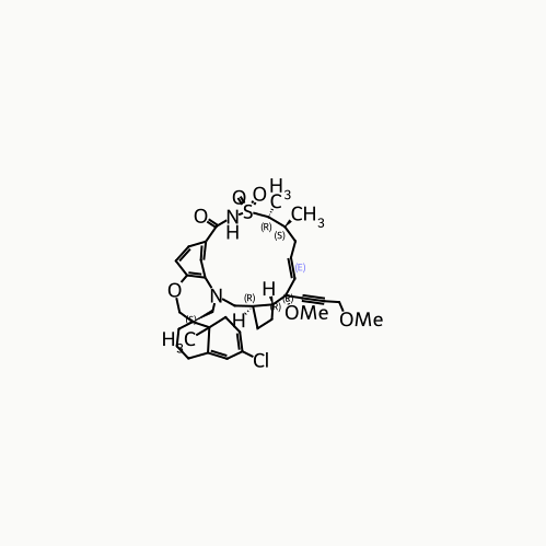 COCC#C[C@]1(OC)/C=C/C[C@H](C)[C@@H](C)S(=O)(=O)NC(=O)c2ccc3c(c2)N(C[C@@H]2CC[C@H]21)C[C@@]1(CCCC2=CC(Cl)=CCC21C)CO3